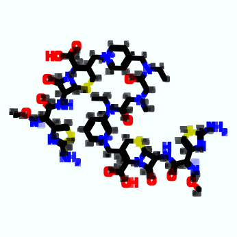 CCN(Cc1cc[n+](CC2=C(C(=O)O)N3C(=O)C(NC(=O)/C(=N\OC)c4csc(N)n4)C3SC2)cc1)C(=O)CN(C)CC(=O)N(CC)c1ccc[n+](CC2=C(C(=O)O)N3C(=O)C(NC(=O)/C(=N\OC)c4csc(N)n4)C3SC2)c1